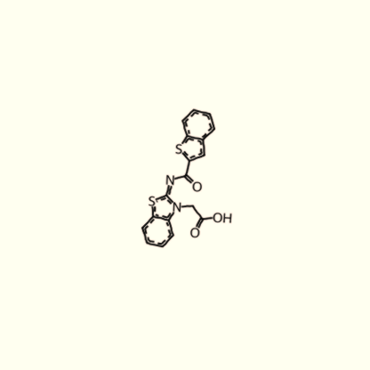 O=C(O)Cn1/c(=N\C(=O)c2cc3ccccc3s2)sc2ccccc21